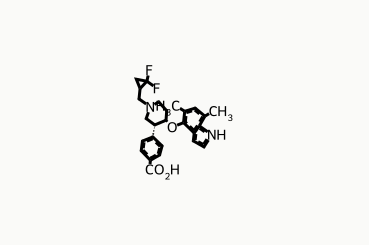 Cc1cc(C)c2[nH]ccc2c1O[C@@H]1CCN(CC2CC2(F)F)C[C@H]1c1ccc(C(=O)O)cc1